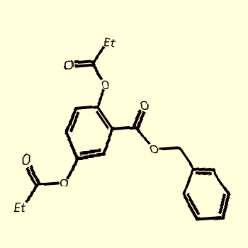 CCC(=O)Oc1ccc(OC(=O)CC)c(C(=O)OCc2ccccc2)c1